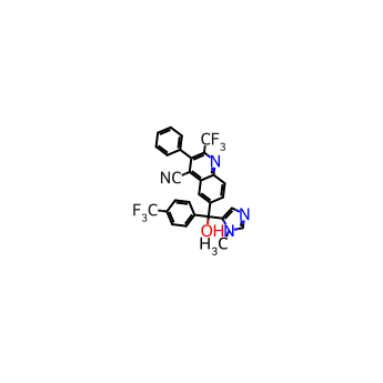 Cn1cncc1C(O)(c1ccc(C(F)(F)F)cc1)c1ccc2nc(C(F)(F)F)c(-c3ccccc3)c(C#N)c2c1